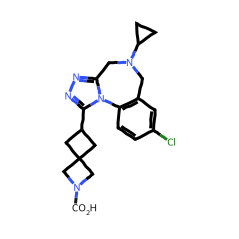 O=C(O)N1CC2(CC(c3nnc4n3-c3ccc(Cl)cc3CN(C3CC3)C4)C2)C1